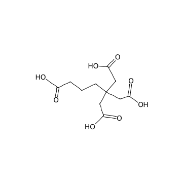 O=C(O)CCCC(CC(=O)O)(CC(=O)O)CC(=O)O